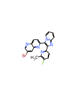 Cc1nc(-c2nc3ccccn3c2-c2ccc3ncc(Br)cc3n2)ccc1F